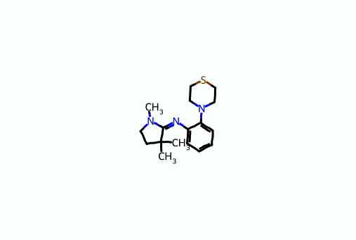 CN1CCC(C)(C)/C1=N\c1ccccc1N1CCSCC1